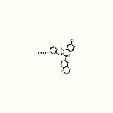 C[C@@H](c1cccc(Cl)c1)N(Cc1cccc(C(=O)O)c1)C(=O)c1ccc2c(c1)OCCO2